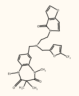 CCN1C(=O)C(C)(C)C(=O)N(C)c2cc(CN(CCn3ccc4occc4c3=O)Cc3ccc(C(F)(F)F)o3)ccc21